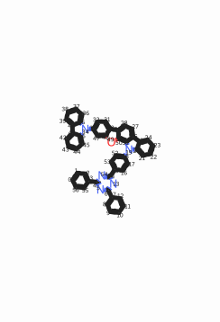 c1ccc(-c2nc(-c3ccccc3)nc(-c3ccc(-n4c5ccccc5c5ccc6c7ccc(-n8c9ccccc9c9ccccc98)cc7oc6c54)cc3)n2)cc1